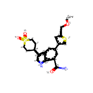 CCCOCc1cc(-c2cc(C(N)=O)c3[nH]cc(C4CCS(=O)(=O)CC4)c3c2)cs1